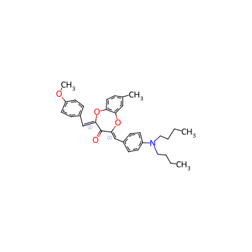 CCCCN(CCCC)c1ccc(/C=C2\Oc3cc(C)ccc3O/C(=C\c3ccc(OC)cc3)C2=O)cc1